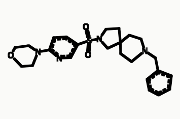 O=S(=O)(c1ccc(N2CCOCC2)nc1)N1CCC2(CCN(Cc3ccccc3)CC2)C1